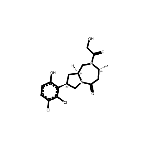 C[C@@H]1CC(=O)N2C[C@@H](c3c(O)ccc(Cl)c3Cl)C[C@H]2CN1C(=O)CO